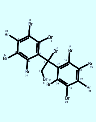 BrCC(Br)(c1c(Br)c(Br)c(Br)c(Br)c1Br)c1c(Br)c(Br)c(Br)c(Br)c1Br